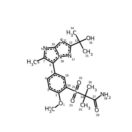 COc1ccc(-c2c(C)nc3sc(C(C)(C)O)nn23)cc1S(=O)(=O)C(C)(C)C(N)=O